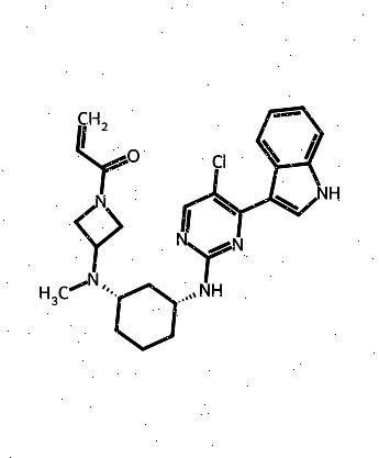 C=CC(=O)N1CC(N(C)[C@H]2CCC[C@@H](Nc3ncc(Cl)c(-c4c[nH]c5ccccc45)n3)C2)C1